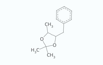 CC1OC(C)(C)OC1Cc1ccccc1